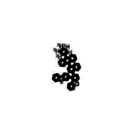 [2H]c1c([2H])c([2H])c(-c2c3ccccc3c(-c3ccc(-c4ccc5oc6ccccc6c5c4-c4ccc5c(c4)sc4ccccc45)c4ccccc34)c3ccccc23)c([2H])c1[2H]